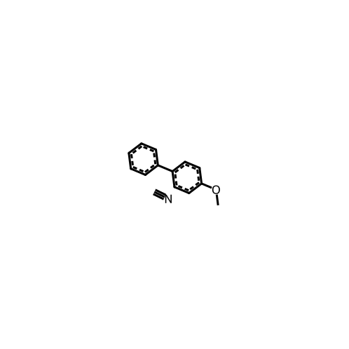 C#N.COc1ccc(-c2ccccc2)cc1